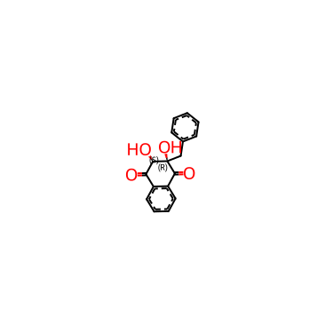 O=C1c2ccccc2C(=O)[C@@](O)(Cc2ccccc2)[C@@H]1O